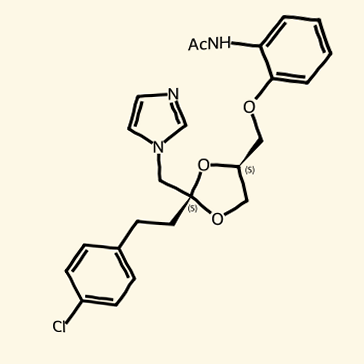 CC(=O)Nc1ccccc1OC[C@H]1CO[C@](CCc2ccc(Cl)cc2)(Cn2ccnc2)O1